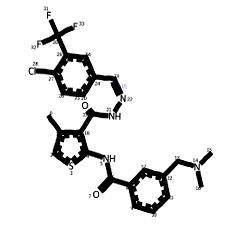 Cc1csc(NC(=O)c2cccc(CN(C)C)c2)c1C(=O)N/N=C\c1ccc(Cl)c(C(F)(F)F)c1